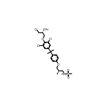 CC(=O)O[C@@H](CCl)COc1c(Cl)cc(C(C)(C)c2ccc(OC[C@H](C)CNS(C)(=O)=O)cc2)cc1Cl